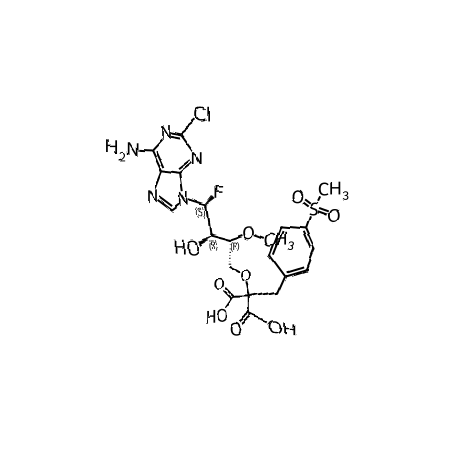 CO[C@H](COC(Cc1ccc(S(C)(=O)=O)cc1)(C(=O)O)C(=O)O)[C@@H](O)[C@H](F)n1cnc2c(N)nc(Cl)nc21